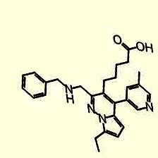 CCc1ccc2c(-c3cncc(C)c3)c(CCCCC(=O)O)c(CNCc3ccccc3)nn12